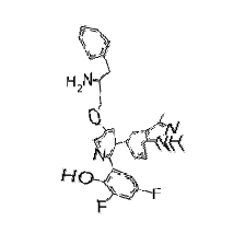 Cc1n[nH]c2ccc(-c3cc(OC[C@@H](N)Cc4ccccc4)cnc3-c3cc(F)cc(F)c3O)cc12